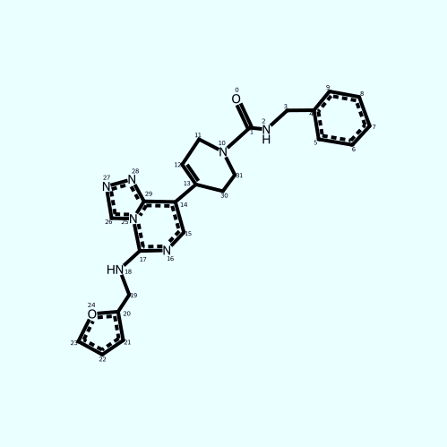 O=C(NCc1ccccc1)N1CC=C(c2cnc(NCc3ccco3)n3cnnc23)CC1